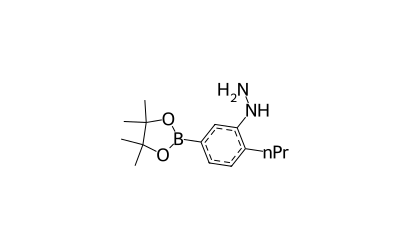 CCCc1ccc(B2OC(C)(C)C(C)(C)O2)cc1NN